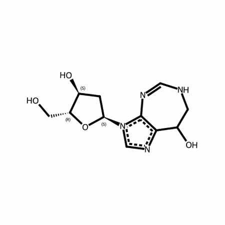 OC[C@H]1O[C@H](n2cnc3c2N=CNCC3O)C[C@@H]1O